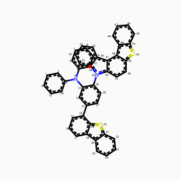 c1ccc(N(c2ccccc2)c2cc(-c3cccc4c3sc3ccccc34)ccc2-n2c3ccccc3c3c4c(ccc32)sc2ccccc24)cc1